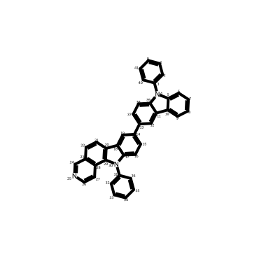 c1ccc(-n2c3ccccc3c3cc(-c4ccc5c(c4)c4ccc6cnccc6c4n5-c4ccccc4)ccc32)cc1